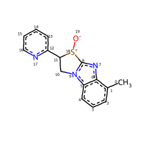 Cc1cccc2c1nc1n2CC(c2ccccn2)[S+]1[O-]